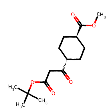 COC(=O)[C@H]1CC[C@H](C(=O)CC(=O)OC(C)(C)C)CC1